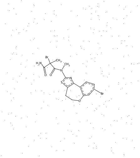 CN(C(=O)C(C)(Br)C(N)=O)c1nc2c(s1)CCOc1cc(Br)ccc1-2